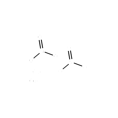 O=[Si]([O-])[O-].O=[Si]([O-])[O-].[Ca+2].[Cu+2]